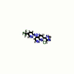 FC(F)(F)c1ccc(Nc2ccnc3nc(-c4nsnc4Cl)ccc23)nc1